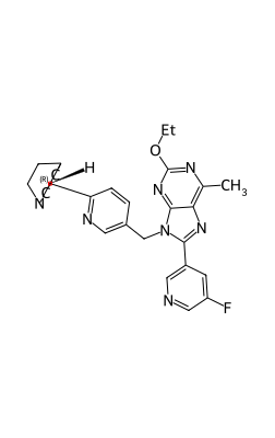 CCOc1nc(C)c2nc(-c3cncc(F)c3)n(Cc3ccc([C@H]4CN5CCC4CC5)nc3)c2n1